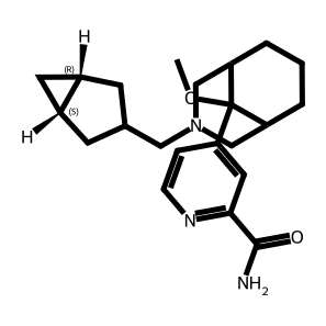 COC1(c2ccnc(C(N)=O)c2)C2CCCC1CN(CC1C[C@@H]3C[C@@H]3C1)C2